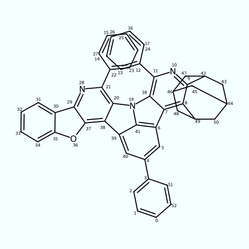 c1ccc(-c2cc3c4c5c(nc(-c6ccccc6)c4n4c6c(-c7ccccc7)nc7c8ccccc8oc7c6c(c2)c34)C2CC3CC(C2)CC5C3)cc1